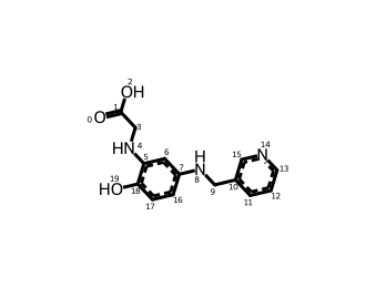 O=C(O)CNc1cc(NCc2cccnc2)ccc1O